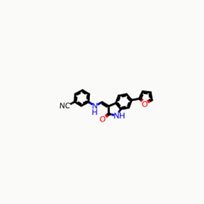 N#Cc1cccc(NC=C2C(=O)Nc3cc(-c4ccco4)ccc32)c1